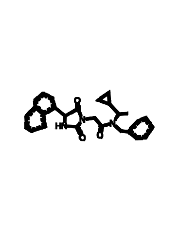 CC(C1CC1)N(Cc1ccccc1)C(=O)CN1C(=O)NC(c2cccc3ccccc23)C1=O